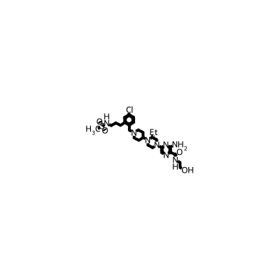 CC[C@H]1CN(c2cnc(C(=O)NCCO)c(N)n2)CCN1C1CCN(Cc2ccc(Cl)cc2CCCNS(C)(=O)=O)CC1